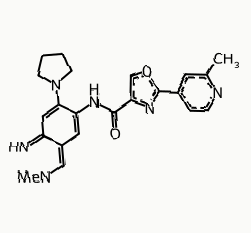 CN/C=C1/C=C(NC(=O)c2coc(-c3ccnc(C)c3)n2)C(N2CCCC2)=CC1=N